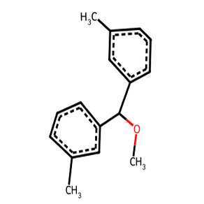 COC(c1cccc(C)c1)c1cccc(C)c1